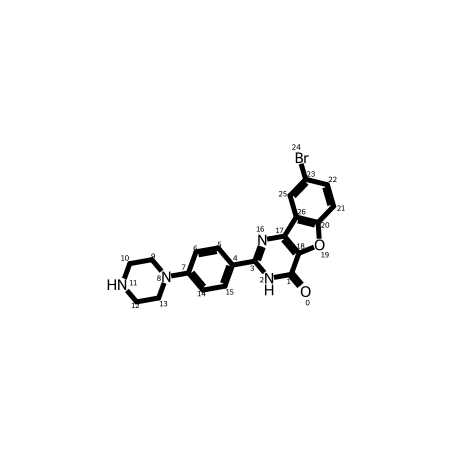 O=c1[nH]c(-c2ccc(N3CCNCC3)cc2)nc2c1oc1ccc(Br)cc12